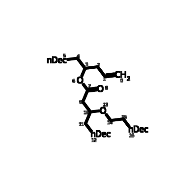 C=CCC(CCCCCCCCCCC)OC(=O)CC(CCCCCCCCCCC)OCCCCCCCCCCCC